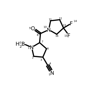 BN1CC(C#N)CC1C(=O)N1CCC(F)(F)C1